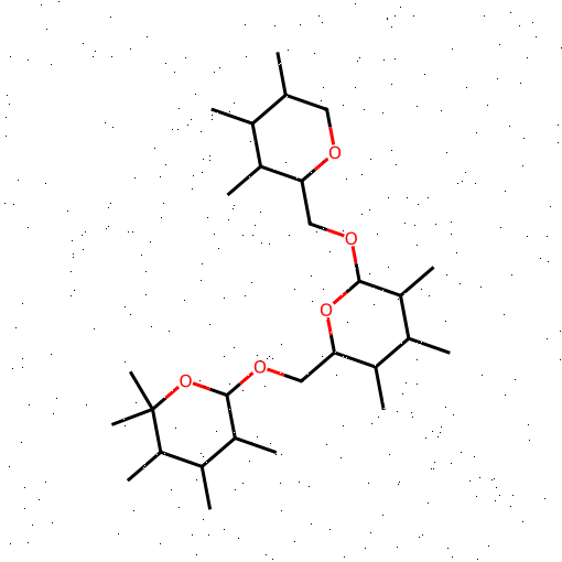 CC1COC(COC2OC(COC3OC(C)(C)C(C)C(C)C3C)C(C)C(C)C2C)C(C)C1C